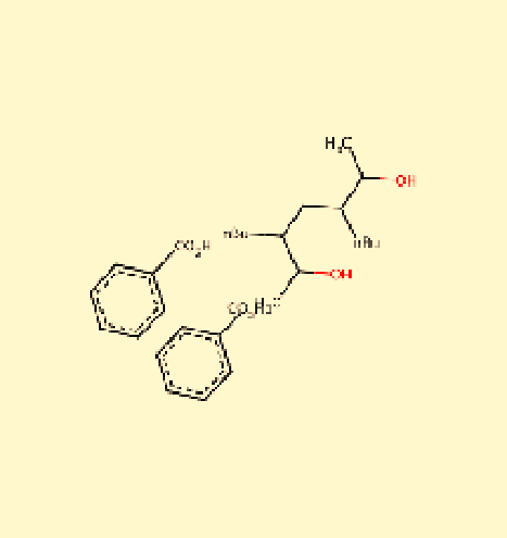 CCCCC(CC(CCCC)C(C)O)C(C)O.O=C(O)c1ccccc1.O=C(O)c1ccccc1